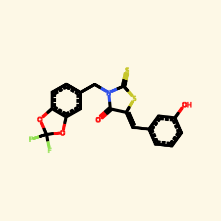 O=C1C(=Cc2cccc(O)c2)SC(=S)N1Cc1ccc2c(c1)OC(F)(F)O2